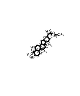 CCOC(C)(C)CC1CCC2C(CC3C4CCC5C(CCC(O)C5(C)C)C4(C)CCC23C)O1